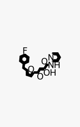 O=C(Nc1ccccn1)C(O)=CC(=O)c1ccc(Cc2ccc(F)cc2)o1